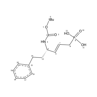 CC(C)(C)OC(=O)N[C@H](/C=C/CP(=O)(O)O)CCc1ccccc1